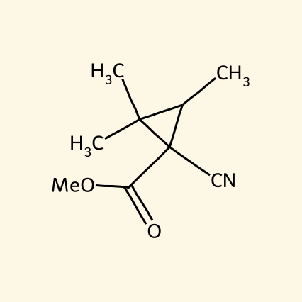 COC(=O)C1(C#N)C(C)C1(C)C